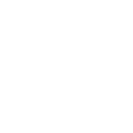 C1CCCC([P]C2CCCCCCC2)CCC1